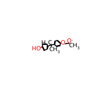 CC([O])COc1ccc(C(C)(C)c2ccc(O)cc2)cc1